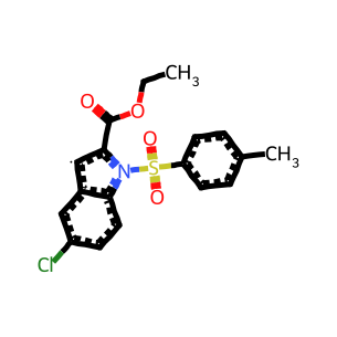 CCOC(=O)c1[c]c2cc(Cl)ccc2n1S(=O)(=O)c1ccc(C)cc1